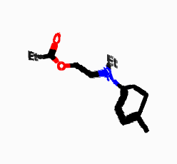 CCC(=O)OCCN(CC)c1ccc(C)cc1